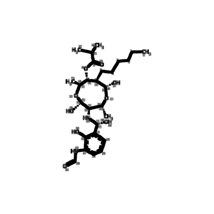 CCCCCC[C@@H]1[C@@H](OC(=O)C(C)C)[C@H](C)O[C@@H](O)[C@@H](N[C@H](O)c2cccc(NC=O)c2O)[C@@H](C)O[C@H]1O